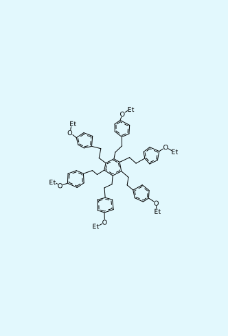 CCOc1ccc(CCc2c(CCc3ccc(OCC)cc3)c(CCc3ccc(OCC)cc3)c(CCc3ccc(OCC)cc3)c(CCc3ccc(OCC)cc3)c2CCc2ccc(OCC)cc2)cc1